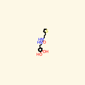 O=C(NCCCc1cccs1)NCCc1ccc(O)c(O)c1